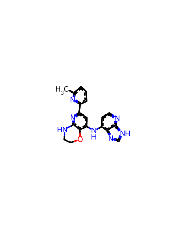 Cc1cccc(-c2cc(Nc3ccnc4[nH]cnc34)c3c(n2)NCCO3)n1